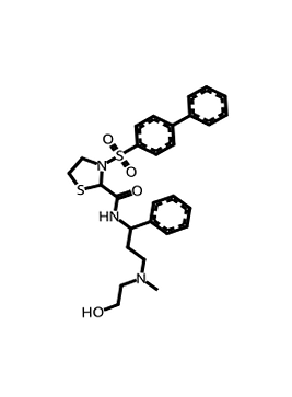 CN(CCO)CCC(NC(=O)C1SCCN1S(=O)(=O)c1ccc(-c2ccccc2)cc1)c1ccccc1